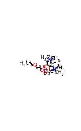 C=CCOCCOP(=O)(OCC[N+](C)(C)C)OCC[N+](C)(C)C